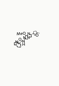 COc1nc(NC(=O)c2cccc3ccnn23)cn2cc(C34CCC(C)(C3)OC4)nc12